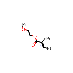 CC/C=C(\CCC)C(=O)OCCOC(C)C